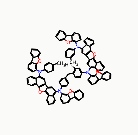 Cc1ccc(N(c2cc3c4cc(N(c5ccc(Cc6ccc(N(c7cc8c9cc(N(c%10cccc(C)c%10)c%10cccc%11c%10oc%10ccccc%10%11)c%10ccccc%10c9oc8c8ccccc78)c7cccc8c7oc7ccccc78)cc6C)cc5)c5cccc6c5oc5ccccc56)c5ccccc5c4oc3c3ccccc23)c2cccc3c2oc2ccccc23)cc1